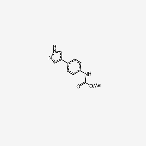 COC(=O)Nc1ccc(-c2cn[nH]c2)cc1